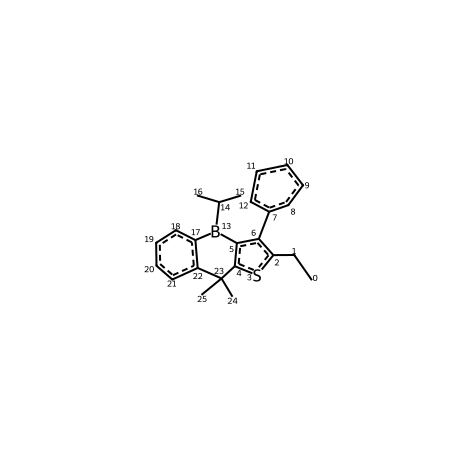 CCc1sc2c(c1-c1ccccc1)B(C(C)C)c1ccccc1C2(C)C